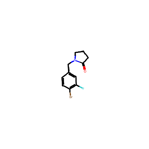 O=C1CCCN1Cc1ccc(Br)c(F)c1